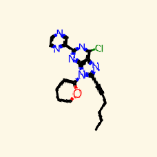 CCCCC#Cc1nc2c(Cl)nc(-c3cnccn3)nc2n1C1CCCCO1